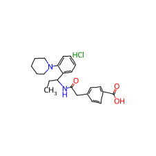 CCC(NC(=O)Cc1ccc(C(=O)O)cc1)c1ccccc1N1CCCCC1.Cl